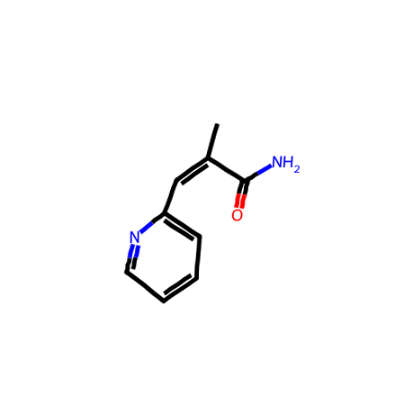 CC(=Cc1ccccn1)C(N)=O